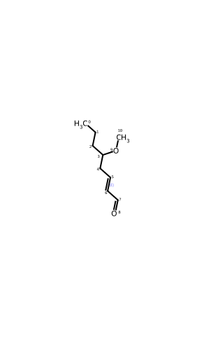 CCCC(C/C=C/C=O)OC